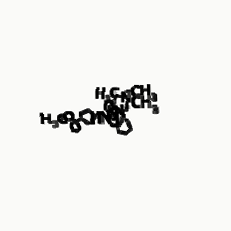 CCN1[C@H](C)C[N+](c2ccccc2)(S(=O)(=O)NCc2ccc(C(=O)OC)cc2)C[C@@H]1C